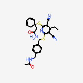 CCc1c(C#N)c(SCc2ccc(CNC(C)=O)cc2)nc(SC2(CC(N)=O)C=CC=CC2)c1C#N